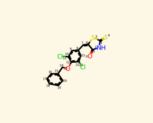 O=C1NC(=S)SC1=Cc1cc(Cl)c(OCc2ccccc2)c(Cl)c1